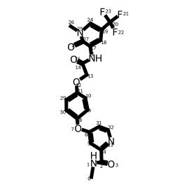 CNC(=O)c1cc(Oc2ccc(OCC(=O)Nc3cc(C(F)(F)F)cn(C)c3=O)cc2)ccn1